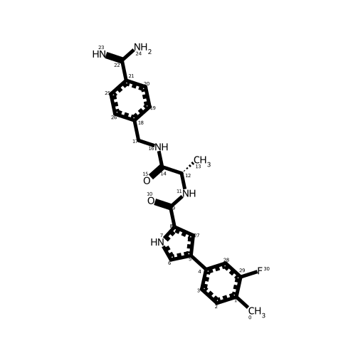 Cc1ccc(-c2c[nH]c(C(=O)N[C@@H](C)C(=O)NCc3ccc(C(=N)N)cc3)c2)cc1F